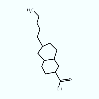 CCCCCC1CCC2CC(C(=O)O)CCC2C1